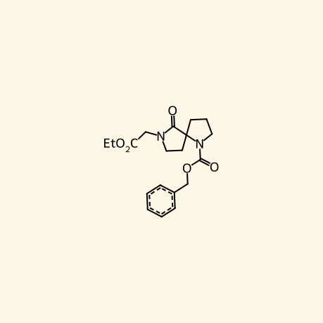 CCOC(=O)CN1CCC2(CCCN2C(=O)OCc2ccccc2)C1=O